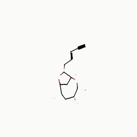 C#C/C=C/C[C@@H]1O[C@H]2C[C@@H]1O[C@H](CC)[C@@H](Br)C[C@@H]2Cl